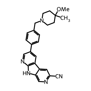 COC1(C)CCN(Cc2ccc(-c3cnc4[nH]c5cnc(C#N)cc5c4c3)cc2)CC1